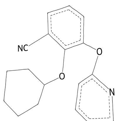 N#Cc1cccc(Oc2ccccn2)c1OC1CCCCC1